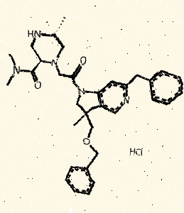 C[C@@H]1CN(CC(=O)N2CC(C)(COCc3ccccc3)c3cnc(Cc4ccccc4)cc32)[C@@H](C(=O)N(C)C)CN1.Cl